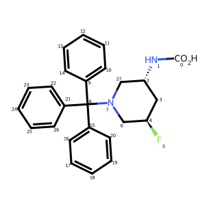 O=C(O)N[C@@H]1C[C@@H](F)CN(C(c2ccccc2)(c2ccccc2)c2ccccc2)C1